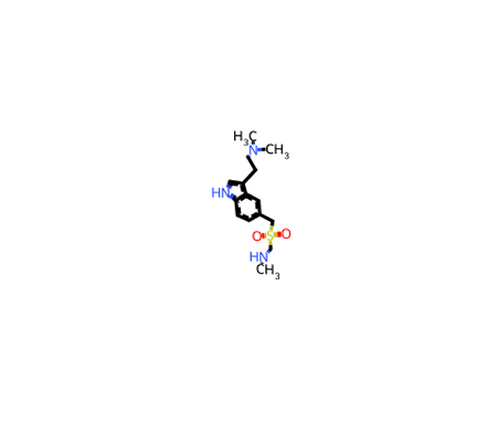 CNCS(=O)(=O)Cc1ccc2[nH]cc(CCN(C)C)c2c1